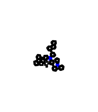 CC1(C)c2ccccc2-c2cccc(-c3ccc(N(c4ccc(-c5cccc6c7ccccc7n(-c7ccccc7)c56)cc4)c4cccc(-c5cccc6c5ccc5ccccc56)c4)cc3)c21